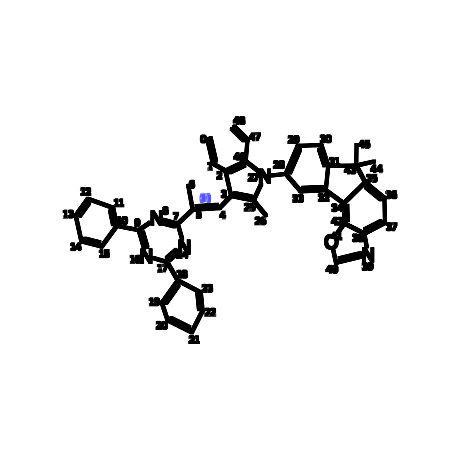 C=Cc1c(/C=C(\C)c2nc(-c3ccccc3)nc(-c3ccccc3)n2)c(C)n(-c2ccc3c(c2)-c2c(ccc4ncoc24)C3(C)C)c1C=C